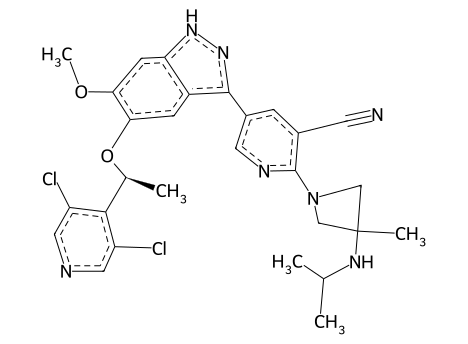 COc1cc2[nH]nc(-c3cnc(N4CC(C)(NC(C)C)C4)c(C#N)c3)c2cc1O[C@@H](C)c1c(Cl)cncc1Cl